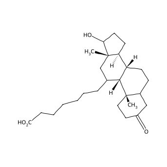 C[C@]12CCC(=O)CC1CC[C@@H]1[C@H]2C(CCCCCCC(=O)O)C[C@]2(C)C(O)CC[C@@H]12